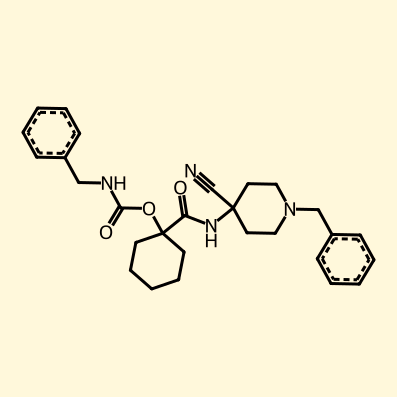 N#CC1(NC(=O)C2(OC(=O)NCc3ccccc3)CCCCC2)CCN(Cc2ccccc2)CC1